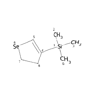 C[Si](C)(C)C1=C[Se]CC1